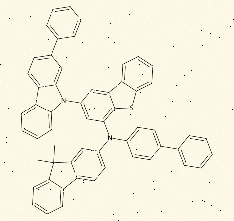 CC1(C)c2ccccc2-c2ccc(N(c3ccc(-c4ccccc4)cc3)c3cc(-n4c5ccccc5c5ccc(-c6ccccc6)cc54)cc4c3sc3ccccc34)cc21